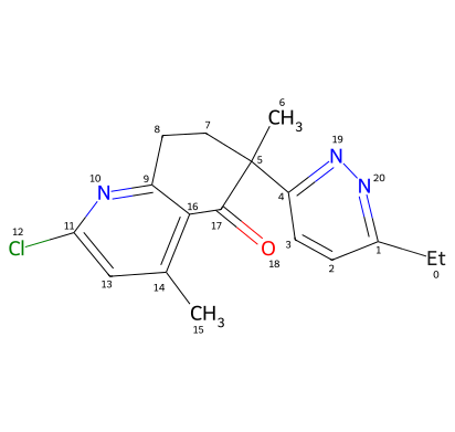 CCc1ccc(C2(C)CCc3nc(Cl)cc(C)c3C2=O)nn1